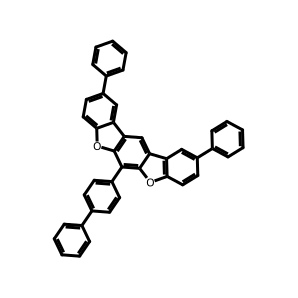 c1ccc(-c2ccc(-c3c4oc5ccc(-c6ccccc6)cc5c4cc4c3oc3ccc(-c5ccccc5)cc34)cc2)cc1